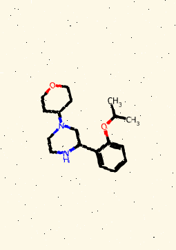 CC(C)Oc1ccccc1C1CN(C2CCOCC2)CCN1